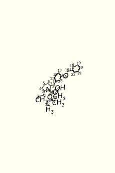 CCCC1CCCC(C(O)c2cccc(OCc3ccccc3)c2)N1C(=O)OC(C)(C)C